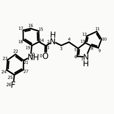 O=C(NCCc1c[nH]c2ccccc12)c1ccccc1Nc1cccc(F)c1